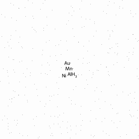 [AlH3].[Au].[Mn].[Ni]